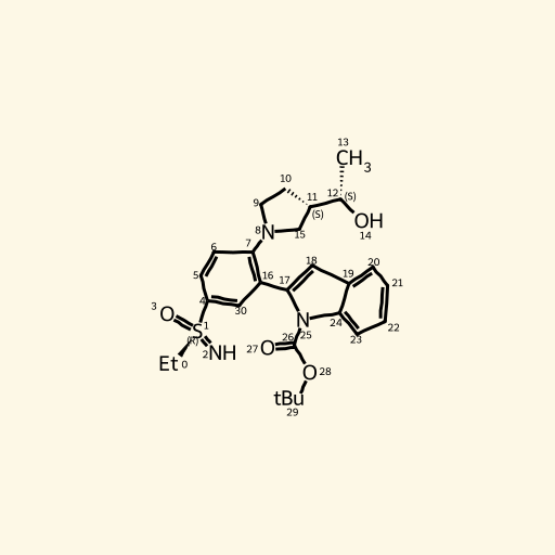 CC[S@@](=N)(=O)c1ccc(N2CC[C@H]([C@H](C)O)C2)c(-c2cc3ccccc3n2C(=O)OC(C)(C)C)c1